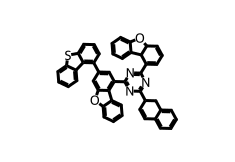 C1=CC2Oc3ccccc3C2C(c2nc(-c3cc(-c4cccc5sc6ccccc6c45)cc4oc5ccccc5c34)nc(C3C=Cc4ccccc4C3)n2)=C1